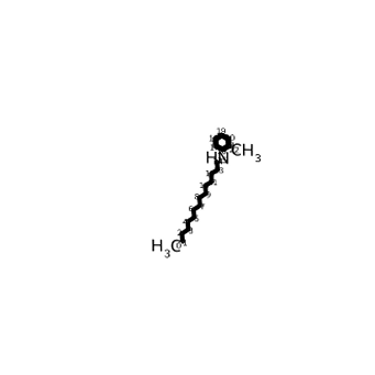 CCCCCCCCCCCCCCCNc1ccccc1C